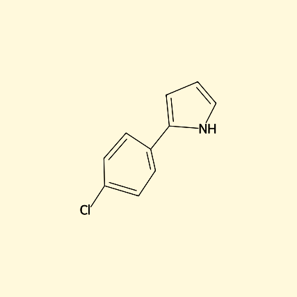 Clc1ccc(-c2ccc[nH]2)cc1